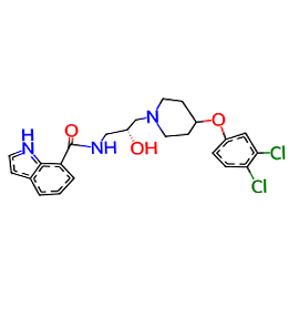 O=C(NC[C@@H](O)CN1CCC(Oc2ccc(Cl)c(Cl)c2)CC1)c1cccc2cc[nH]c12